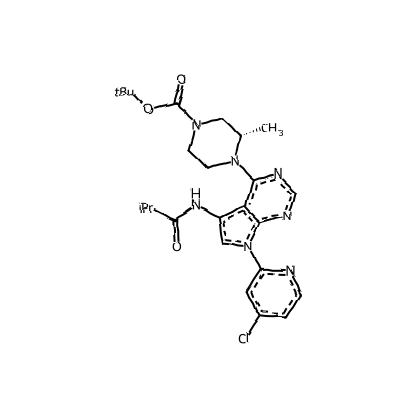 CC(C)C(=O)Nc1cn(-c2cc(Cl)ccn2)c2ncnc(N3CCN(C(=O)OC(C)(C)C)C[C@@H]3C)c12